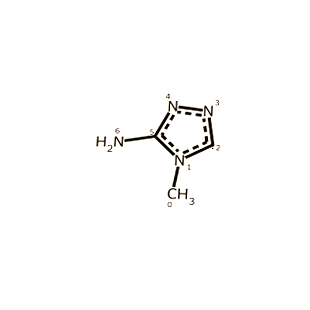 Cn1[c]nnc1N